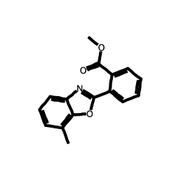 COC(=O)c1ccccc1-c1nc2cccc(C)c2o1